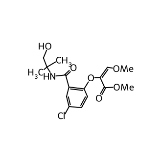 COC=C(Oc1ccc(Cl)cc1C(=O)NC(C)(C)CO)C(=O)OC